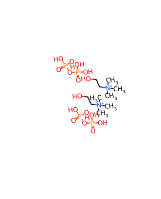 C[N+](C)(C)CCO.C[N+](C)(C)CCO.O=P(O)(O)OP(=O)(O)O.O=P(O)(O)OP(=O)(O)O